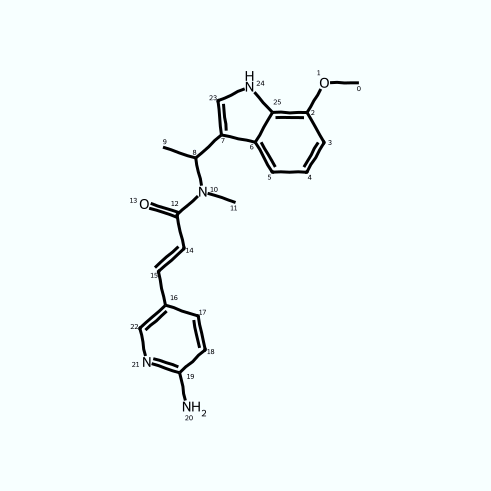 COc1cccc2c(C(C)N(C)C(=O)C=Cc3ccc(N)nc3)c[nH]c12